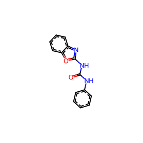 O=C(Nc1ccccc1)Nc1nc2ccccc2o1